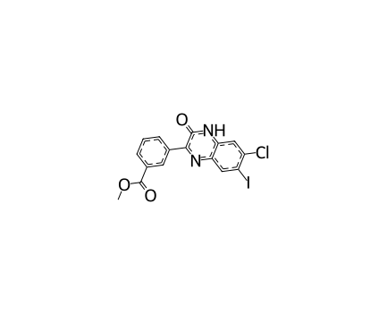 COC(=O)c1cccc(-c2nc3cc(I)c(Cl)cc3[nH]c2=O)c1